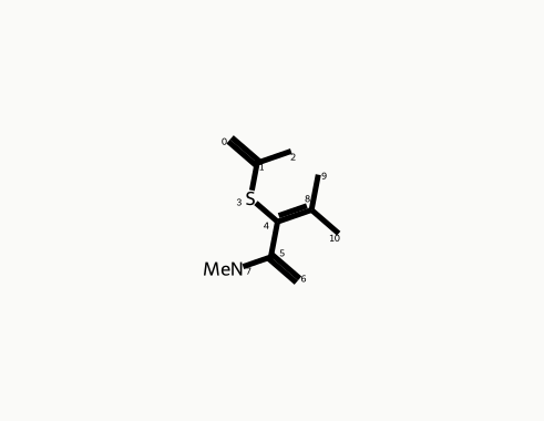 C=C(C)SC(C(=C)NC)=C(C)C